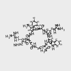 CC(=O)N[C@@H](CCCNC(=N)N)C(=O)N[C@H]1CCC(=O)NCCC[C@@H](C(N)=O)NC(=O)[C@H](Cc2c[nH]c3ccccc23)NC(=O)[C@H](CCCNC(=N)N)NC(=O)[C@@H](Cc2cccc(C)c2)NC(=O)[C@H](CCN)NC1=O